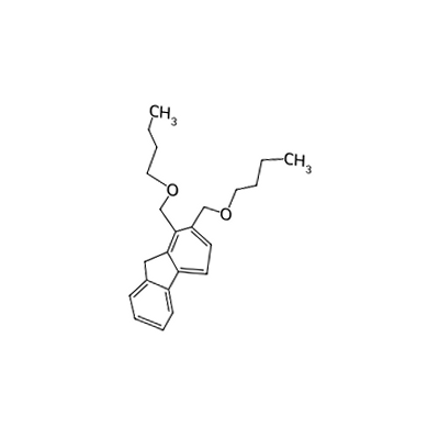 CCCCOCc1ccc2c(c1COCCCC)Cc1ccccc1-2